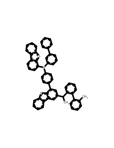 Cc1ccccc1-c1ccccc1C(C)c1cc(-c2ccc(N(c3cccc(-c4ccccc4)c3)c3cccc4c3sc3ccccc34)cc2)c2sc3ccccc3c2c1